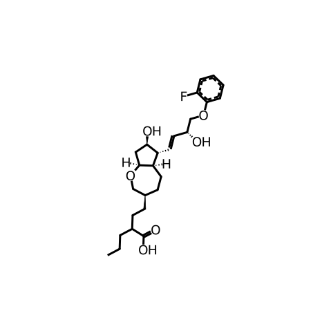 CCCC(CC[C@@H]1CC[C@@H]2[C@@H](C=C[C@@H](O)COc3ccccc3F)[C@H](O)C[C@@H]2OC1)C(=O)O